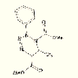 COC(=O)C1N=NN(c2ccccc2)N(C(=O)OC)C1C(F)(F)F